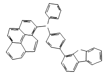 c1ccc(N(c2ccc(-c3cccc4c3sc3ccccc34)cc2)c2ccc3ccc4cccc5ccc2c3c45)cc1